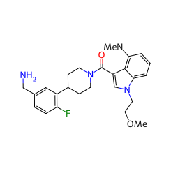 CNc1cccc2c1c(C(=O)N1CCC(c3cc(CN)ccc3F)CC1)cn2CCOC